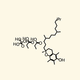 CCC(=O)O.CCC(=O)O.Cc1c(C)c2c(c(C)c1O)CC[C@@](C)(CCCC(C)CCCC(C)CCCC(C)C)O2.O=P(O)(O)O